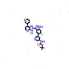 CC(C)(C)CC(=O)Nc1cncc(-c2cc3c(-c4nc5c(-c6cccnc6)ccnc5[nH]4)n[nH]c3cc2F)c1